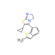 Cc1cc2cccc(C3=C(C4CC4)SC4=NCCN43)c2s1